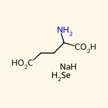 NC(CCC(=O)O)C(=O)O.[NaH].[SeH2]